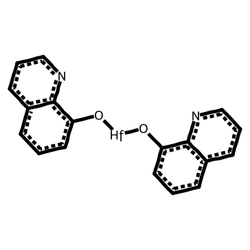 c1cnc2c([O][Hf][O]c3cccc4cccnc34)cccc2c1